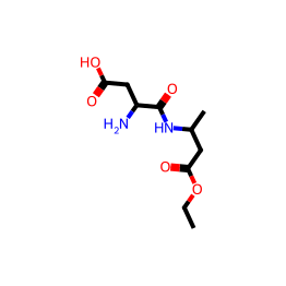 CCOC(=O)CC(C)NC(=O)C(N)CC(=O)O